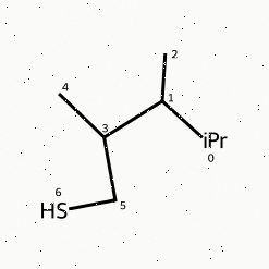 CC(C)C(C)C(C)CS